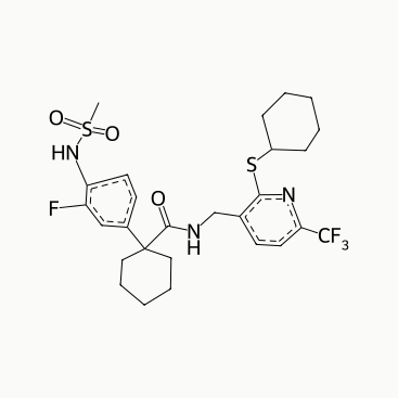 CS(=O)(=O)Nc1ccc(C2(C(=O)NCc3ccc(C(F)(F)F)nc3SC3CCCCC3)CCCCC2)cc1F